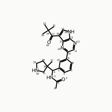 CC(=O)NC(c1cccc(-c2cnc3[nH]cc(C(=O)C(C)(C)C)c3n2)c1)C1(C)CCNC1